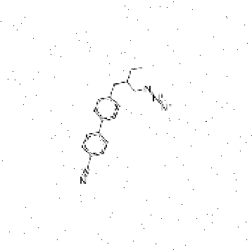 CCC(CN=[N+]=[N-])Cc1ccc(-c2ccc(C#N)cc2)cc1